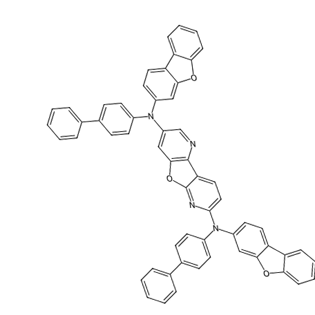 c1ccc(-c2ccc(N(c3ccc4c(c3)oc3ccccc34)c3cnc4c(c3)oc3nc(N(c5ccc(-c6ccccc6)cc5)c5ccc6c(c5)oc5ccccc56)ccc34)cc2)cc1